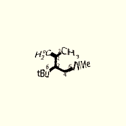 C=C(C)C(CNC)C(C)(C)C